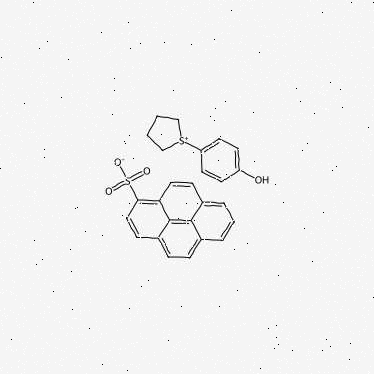 O=S(=O)([O-])c1ccc2ccc3cccc4ccc1c2c34.Oc1ccc([S+]2CCCC2)cc1